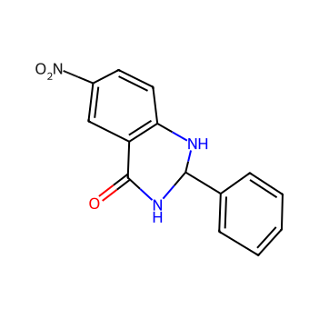 O=C1NC(c2ccccc2)Nc2ccc([N+](=O)[O-])cc21